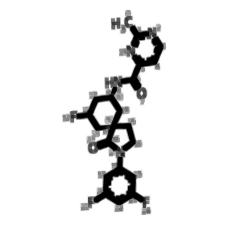 Cc1nccc(C(=O)N[C@@H]2CC(F)C[C@]3(CCN(c4cc(F)cc(F)c4)C3=O)C2)n1